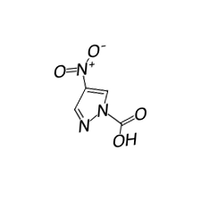 O=C(O)n1cc([N+](=O)[O-])cn1